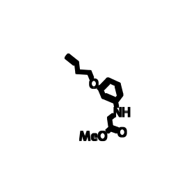 C=CCCOc1cccc(NCC(=O)OC)c1